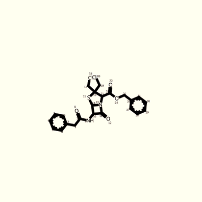 O=C(Cc1ccccc1)NC1C(=O)N2C1SC(CCl)(CCl)C2C(=O)OCc1ccccc1